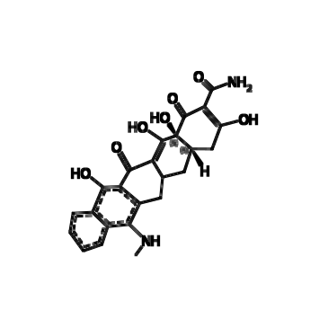 CNc1c2c(c(O)c3ccccc13)C(=O)C1=C(O)[C@]3(O)C(=O)C(C(N)=O)=C(O)C[C@@H]3CC1C2